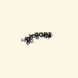 C[C@@H](CO[C@@H]1CCN(C2CCN(c3ncc(C(F)(F)F)cn3)CC2)C1=O)Oc1cn[nH]c(=O)c1Cl